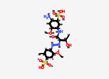 COc1cc(S(=O)(=O)O)c(C)cc1N=NC(C(=O)Nc1cc(S(=O)(=O)O)c(N)cc1OC)=C(C)O